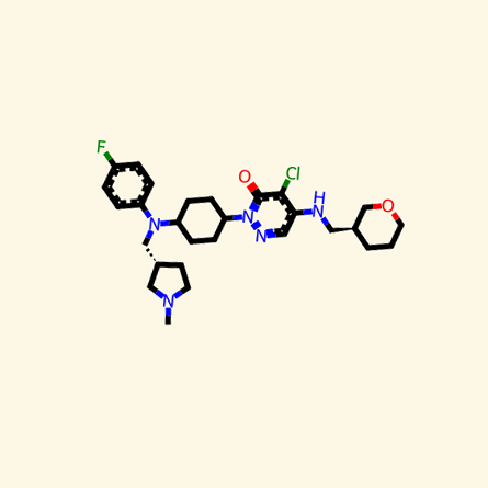 CN1CC[C@@H](CN(c2ccc(F)cc2)C2CCC(n3ncc(NC[C@@H]4CCCOC4)c(Cl)c3=O)CC2)C1